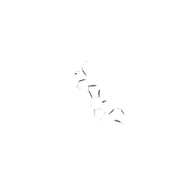 COc1cc(-c2ccc(C(=O)N3[C@@H](c4cccc(F)c4F)CC[C@H]3C(=O)O)cc2)c(OC)nn1